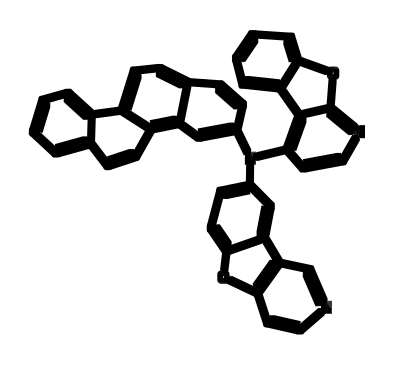 c1ccc2c(c1)ccc1c3cc(N(c4ccc5oc6ccncc6c5c4)c4ccnc5oc6ccccc6c45)ccc3ccc21